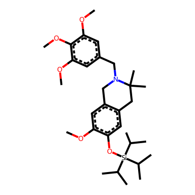 COc1cc2c(cc1O[Si](C(C)C)(C(C)C)C(C)C)CC(C)(C)N(Cc1cc(OC)c(OC)c(OC)c1)C2